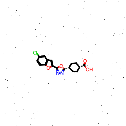 O=C(O)[C@H]1CC[C@H](c2nnc(-c3cc4cc(Cl)ccc4o3)o2)CC1